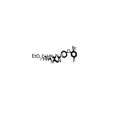 CCOC(=O)CNc1nc2cnc(N3CCC(Oc4cc(F)ccc4Br)CC3)nc2[nH]1